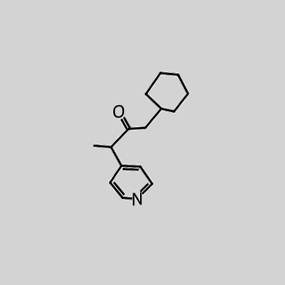 CC(C(=O)CC1CCCCC1)c1ccncc1